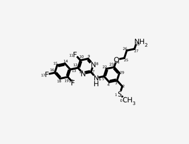 CSCc1cc(Nc2ncc(F)c(-c3ccc(F)cc3F)n2)cc(OCCCN)c1